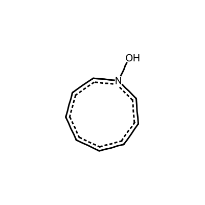 On1cccccccc1